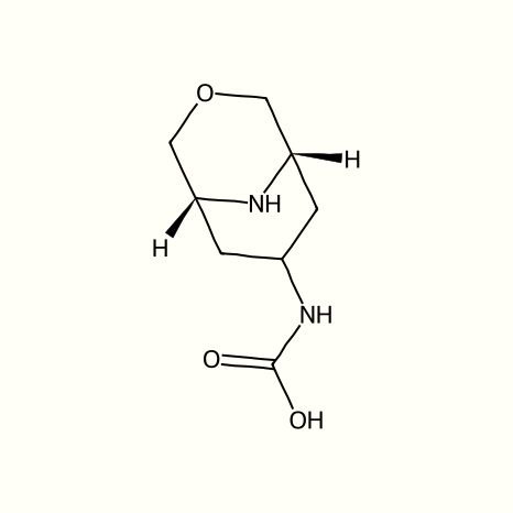 O=C(O)NC1C[C@H]2COC[C@@H](C1)N2